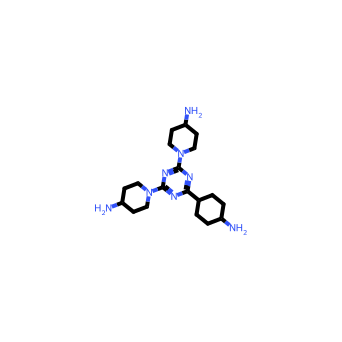 NC1CCC(c2nc(N3CCC(N)CC3)nc(N3CCC(N)CC3)n2)CC1